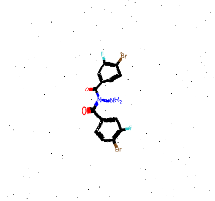 NN(C(=O)c1ccc(Br)c(F)c1)C(=O)c1ccc(Br)c(F)c1